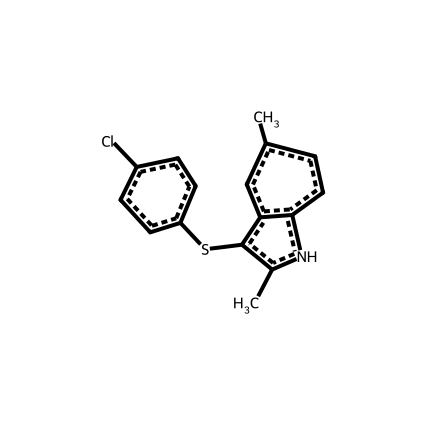 Cc1ccc2[nH]c(C)c(Sc3ccc(Cl)cc3)c2c1